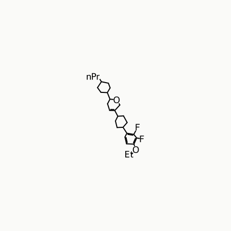 CCCC1CCC(C2CC=C(C3CCC(c4ccc(OCC)c(F)c4F)CC3)CO2)CC1